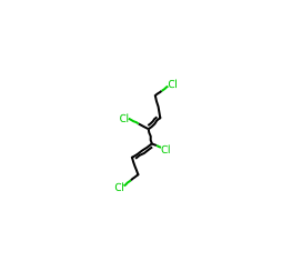 ClCC=C(Cl)C(Cl)=CCCl